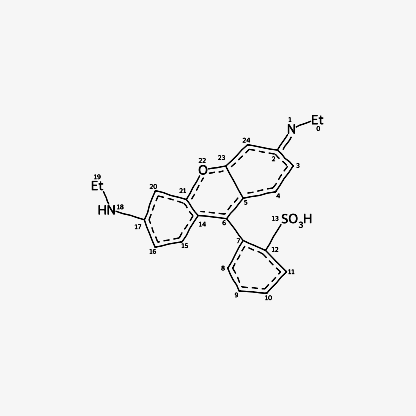 CC/N=c1\ccc2c(-c3ccccc3S(=O)(=O)O)c3ccc(NCC)cc3oc-2c1